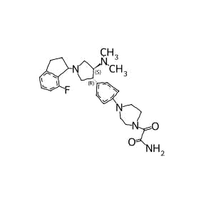 CN(C)[C@@H]1CN(C2CCc3cccc(F)c32)C[C@H]1c1ccc(N2CCN(C(=O)C(N)=O)CC2)cc1